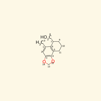 Cc1cc2c(c3c1C(C(=O)O)CCC3)OCO2